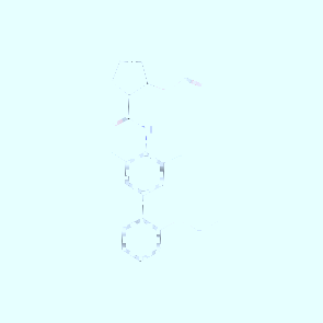 CCOc1ccccc1-c1cc(F)c(NC(=O)C2CCCC2OC=O)c(F)c1